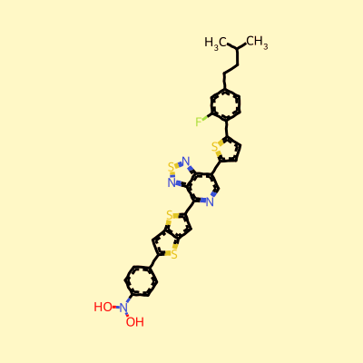 CC(C)CCc1ccc(-c2ccc(-c3cnc(-c4cc5sc(-c6ccc(N(O)O)cc6)cc5s4)c4nsnc34)s2)c(F)c1